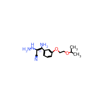 CC(C)OCCOc1cccc(/C(N)=C(\C#N)NN)c1